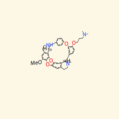 COc1cc2c3c4c1Oc1cc5c(cc1O4)[C@H](Cc1ccc(OCCCN(C)C)c(c1)Oc1ccc(cc1)C[C@@H]3NCC2)N(C)CC5